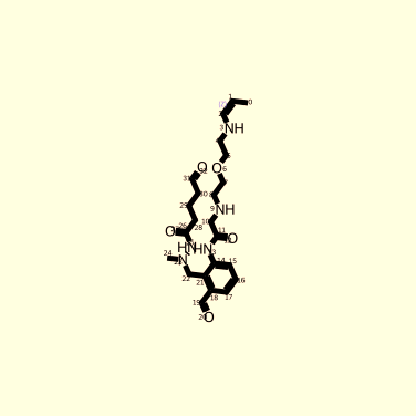 C/C=C\NCCOCCNCC(=O)Nc1cccc(C=O)c1CN(C)NC(=O)CCCC=O